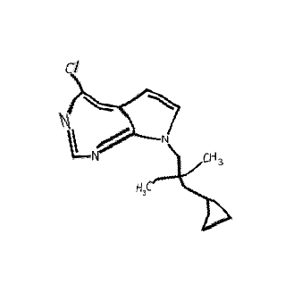 CC(C)(C1CC1)n1ccc2c(Cl)ncnc21